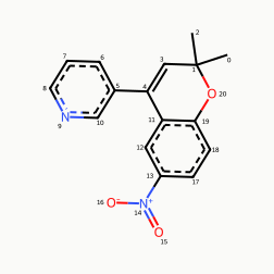 CC1(C)C=C(c2cccnc2)c2cc([N+](=O)[O-])ccc2O1